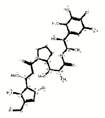 CCC1=C(C)C(C)C([C@H](O)[C@@H](C)NC(=O)[C@H](C)[C@@H](OC)[C@@H]2CCCN2C(=O)C[C@@H](OC)C2[C@H](CC)C=C(CC(C)C)N2C)=CC1C